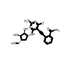 NC(=O)c1ccccc1C#Cc1c(Cl)nc(N)nc1N[C@@H]1C[C@H](CO)[C@@H](O)[C@H]1O